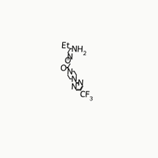 CCC(N)C=NOCC(=O)N1CCN(c2ncc(C(F)(F)F)cn2)CC1